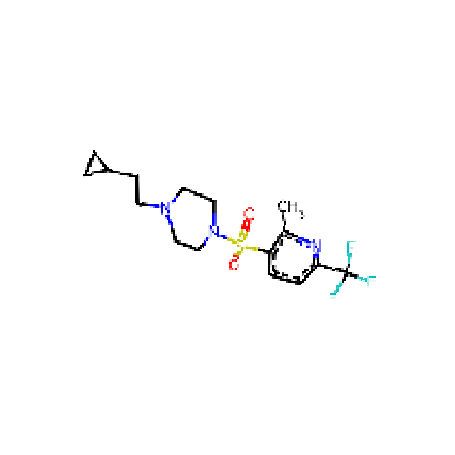 Cc1nc(C(F)(F)F)ccc1S(=O)(=O)N1CCN(CCC2CC2)CC1